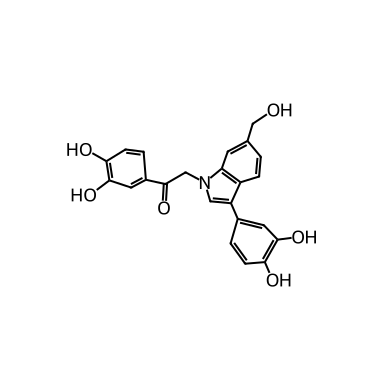 O=C(Cn1cc(-c2ccc(O)c(O)c2)c2ccc(CO)cc21)c1ccc(O)c(O)c1